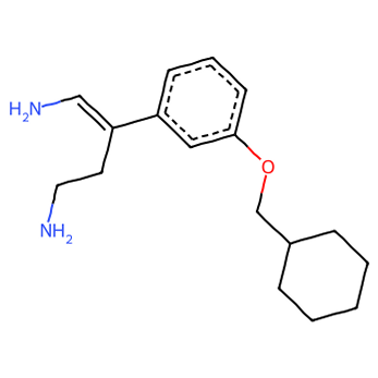 N/C=C(\CCN)c1cccc(OCC2CCCCC2)c1